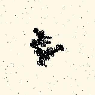 C=C(C)[C@@H](C(=O)N[C@H](C(=O)N(C)[C@@H]([C@@H](C)CC)[C@@H](CC(=O)N1CCC[C@H]1[C@H](OC)[C@@H](C)C(=O)N[C@H](C)[C@@H](O)c1ccccc1)OC)C(C)C)N(C)C(=O)OCc1ccc(NC(=O)[C@H](CCCNC(N)=O)NC(=O)[C@@H](NC(=O)[C@H](CCC(=O)NCCCCCN2C(=O)C=CC2=O)N(CCC(=O)O)CCC(=O)O)C(C)C)cc1